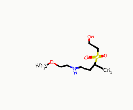 CC(CCNCCOS(=O)(=O)O)S(=O)(=O)CCO